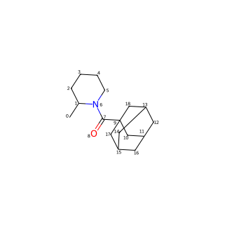 CC1CCCCN1C(=O)C12CC3CC(CC(C3)C1)C2